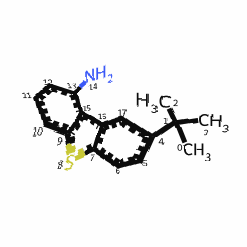 CC(C)(C)c1ccc2sc3cccc(N)c3c2c1